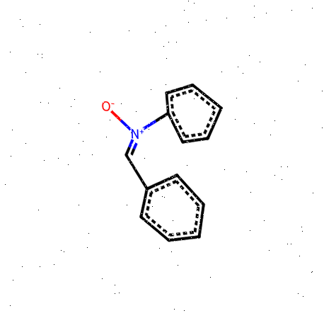 [O-]/[N+](=C/c1ccccc1)c1ccccc1